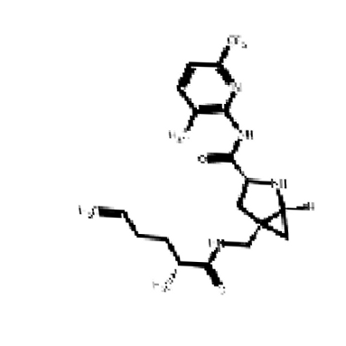 C=CCC[C@@H](C)C(=O)NC[C@@]12C[C@@H](C(=O)Nc3nc(C(F)(F)F)ccc3C)N[C@@H]1C2